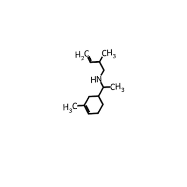 C=CC(C)CNC(C)C1CCC=C(C)C1